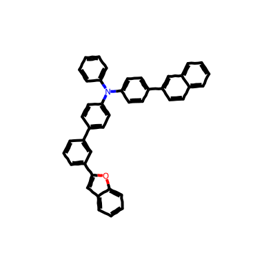 c1ccc(N(c2ccc(-c3cccc(-c4cc5ccccc5o4)c3)cc2)c2ccc(-c3ccc4ccccc4c3)cc2)cc1